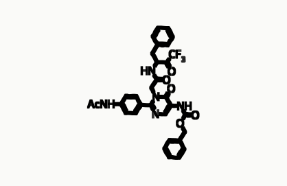 CC(=O)Nc1ccc(-c2ncc(NC(=O)OCc3ccccc3)c(=O)n2CC(=O)NC(Cc2ccccc2)C(=O)C(F)(F)F)cc1